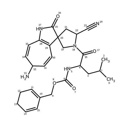 CC(C)CC(NC(=O)OCC1=CCCC=C1)C(=O)N1CC2(CC1C#N)C(=O)NC1=C2C=CC(N)C=C1